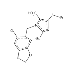 CCCCc1nc(SC(C)C)c(C(=O)O)n1Cc1cc2c(cc1Cl)OCO2